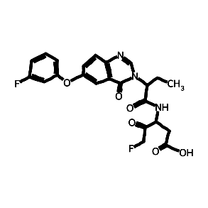 CCC(C(=O)NC(CC(=O)O)C(=O)CF)n1cnc2ccc(Oc3cccc(F)c3)cc2c1=O